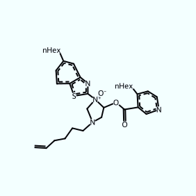 C=CCCCCN1CC(OC(=O)c2cnccc2CCCCCC)[N+]([O-])(c2nc3cc(CCCCCC)ccc3s2)C1